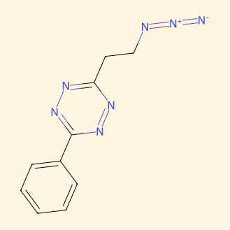 [N-]=[N+]=NCCc1nnc(-c2ccccc2)nn1